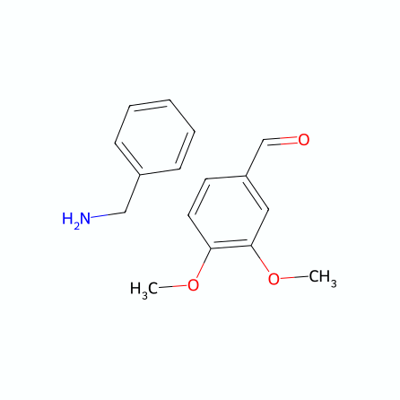 COc1ccc(C=O)cc1OC.NCc1ccccc1